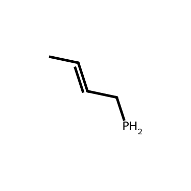 CC=CCP